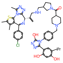 C=C(CNCC1CCN(C(=O)C2CCN(Cc3ccc(-n4c(O)nnc4-c4cc(C(C)C)c(O)cc4O)cc3)CC2)C1)[C@@H]1N=C(c2ccc(Cl)cc2)c2c(sc(C)c2C)-n2c(C)nnc21